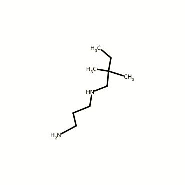 CCC(C)(C)CNCCCN